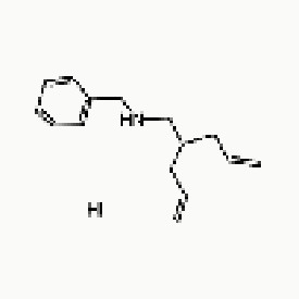 C=CCC(CC=C)CNCc1ccccc1.I